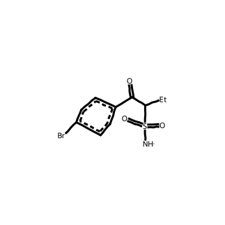 CCC(C(=O)c1ccc(Br)cc1)S([NH])(=O)=O